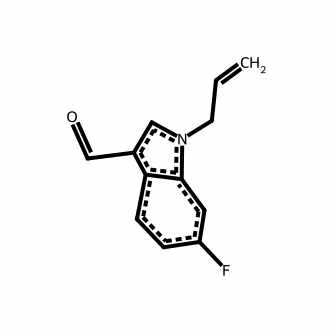 C=CCn1cc(C=O)c2ccc(F)cc21